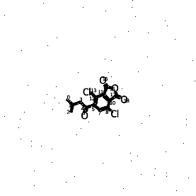 CC(C)CC(=O)c1cc(Cl)c2c(c1Cl)C(=O)OC2=O